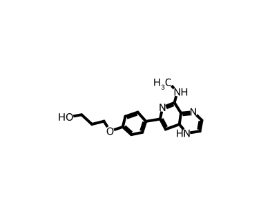 CNC1=NC(c2ccc(OCCCO)cc2)=CC2NC=CN=C12